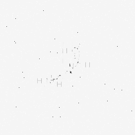 CC(=O)C(C)(C)COCC(C)(C)CNC(=O)COCCC(C)(C)N